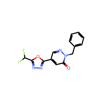 O=c1cc(-c2nnc(C(F)F)o2)cnn1Cc1ccccc1